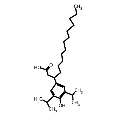 CCCCCCCCCCCCC(CC(=O)O)c1cc(C(C)C)c(O)c(C(C)C)c1